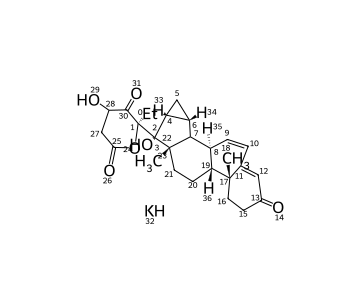 CC[C@]1([C@]2(O)[C@@H]3C[C@@H]3C3[C@H]4C=CC5=CC(=O)CC[C@]5(C)[C@@H]4CC[C@@]32C)OC(=O)CC(O)C1=O.[KH]